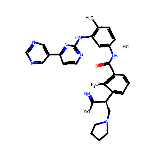 CCCC(=N)[C@H](CN1CCCC1)c1cccc(C(=O)Nc2ccc(C)c(Nc3nccc(-c4cncnc4)n3)c2)c1C(F)(F)F.Cl